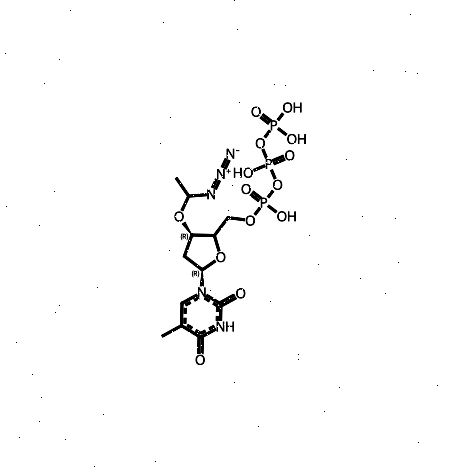 Cc1cn([C@H]2C[C@@H](OC(C)N=[N+]=[N-])C(COP(=O)(O)OP(=O)(O)OP(=O)(O)O)O2)c(=O)[nH]c1=O